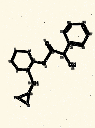 O=C(OC1CCCCC1NC1CC1)C(O)c1ccccc1